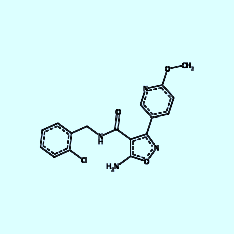 COc1ccc(-c2noc(N)c2C(=O)NCc2ccccc2Cl)cn1